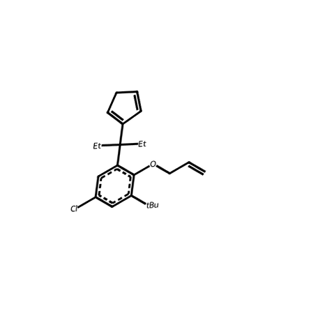 C=CCOc1c(C(C)(C)C)cc(Cl)cc1C(CC)(CC)C1=CCC=C1